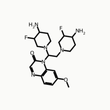 COc1ccc2ncc(=O)n(C(CN3CCC(N)C(F)C3)N3CCC(N)C(F)C3)c2c1